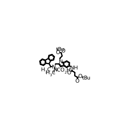 CC(C1c2ccccc2-c2ccccc21)N(Cc1cc2cc(NC(=O)CCC(=O)OC(C)(C)C)ccc2n1CCC(=O)OC(C)(C)C)N(C)C(=O)O